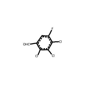 O=Cc1cc(F)c(Cl)c(Cl)c1Cl